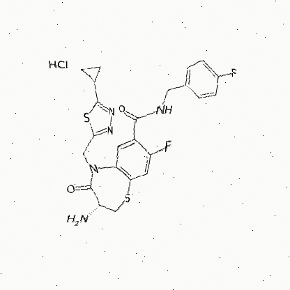 Cl.N[C@H]1CSc2cc(F)c(C(=O)NCc3ccc(F)cc3)cc2N(Cc2nnc(C3CC3)s2)C1=O